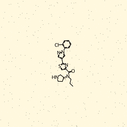 CCCN(C(=O)c1csc(-c2cnn(-c3ccccc3Cl)c2)n1)[C@H]1CCNC1